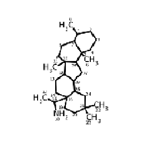 CC1CCCC2(C)C1CCC1(C)C3CCC4(C(C)N)CCC(C)(C)CC4C3CC21